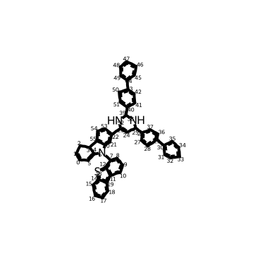 C1=CCC2C(=C1)N(c1cccc3c1sc1ccccc13)c1cc(C3=CC(c4ccc(-c5ccccc5)cc4)NC(c4ccc(-c5ccccc5)cc4)N3)ccc12